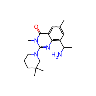 Cc1cc(C(C)N)c2nc(N3CCCC(C)(C)C3)n(C)c(=O)c2c1